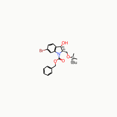 CC(C)(C)[Si](C)(C)OC[C@@H]1[C@H](O)c2ccc(Br)cc2N1C(=O)OCc1ccccc1